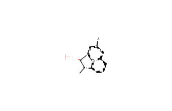 Cc1cc2c3c(cccc3c1)C(C)C2O